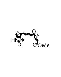 COC(=O)CCN(C)C(=O)CCCC[C@@H]1SCC2NC(=O)N(C)C21